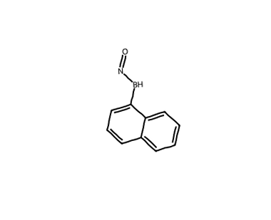 O=NBc1cccc2ccccc12